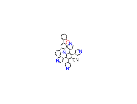 N#Cc1c(-c2ccncc2)c(-c2ccncc2)c(-n2c3ccccc3c3cc4c(cc32)oc2ccccc24)c(-c2ccncc2)c1-c1ccncc1